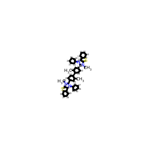 Cc1cc(B2N(C)c3sc4ccccc4c3N2c2ccccc2)ccc1-c1ccc(C2N(C)c3sc4ccccc4c3N2c2ccccc2)cc1C